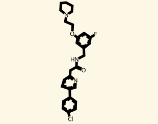 O=C(Cc1ccc(-c2ccc(Cl)cc2)cn1)NCc1cc(F)cc(OCCN2CCCCC2)c1